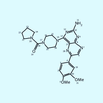 COc1ccc(-c2cnc3nc(N)nc(N4CCN(C(=O)N5CCCC5)CC4)c3n2)cc1OC